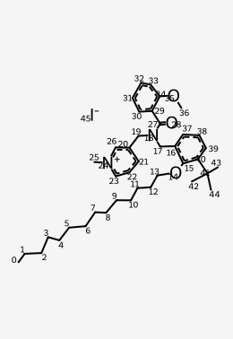 CCCCCCCCCCCCCCOc1c(CN(Cc2ccc[n+](C)c2)C(=O)c2ccccc2OC)cccc1C(C)(C)C.[I-]